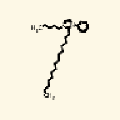 CCCCCCCCCCCCCCCc1n(-c2ccccc2)cc[n+]1CCCCC